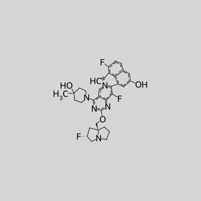 C#Cc1c(F)ccc2cc(O)cc(-c3ncc4c(N5CCC(C)(O)CC5)nc(OC[C@@]56CCCN5C[C@H](F)C6)nc4c3F)c12